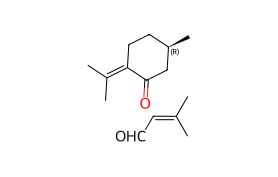 CC(C)=C1CC[C@@H](C)CC1=O.CC(C)=CC=O